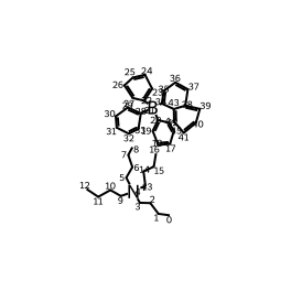 CCCC[N+](CCCC)(CCCC)CCCC.c1ccc([B-](c2ccccc2)(c2ccccc2)c2cccc3ccccc23)cc1